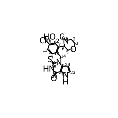 O=C(O)N1CCOCC1c1cc(Cl)ccc1Cn1c(=S)[nH]c(=O)c2[nH]ccc21